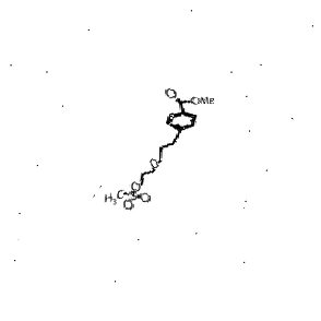 COC(=O)c1ccc(CCCOCCCOS(C)(=O)=O)cc1